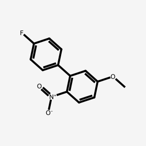 COc1ccc([N+](=O)[O-])c(-c2ccc(F)cc2)c1